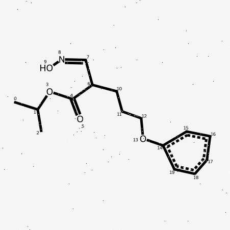 CC(C)OC(=O)C(/C=N\O)CCCOc1ccccc1